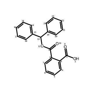 O=C(O)c1ccccc1C(=O)OC(c1ccccc1)c1ccccc1